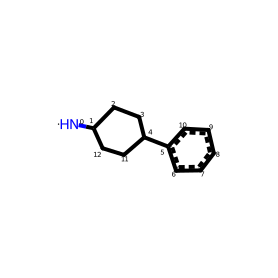 [NH][C]1CCC(c2ccccc2)CC1